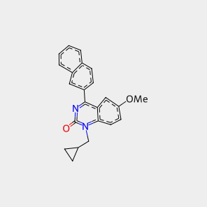 COc1ccc2c(c1)c(-c1ccc3ccccc3c1)nc(=O)n2CC1CC1